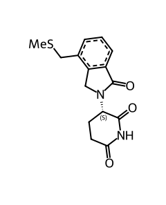 CSCc1cccc2c1CN([C@H]1CCC(=O)NC1=O)C2=O